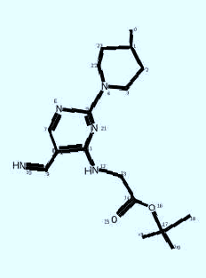 CC1CCN(c2ncc(C=N)c(NCC(=O)OC(C)(C)C)n2)CC1